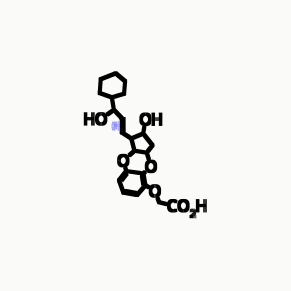 O=C(O)COc1cccc2c1OC1CC(O)C(/C=C/C(O)C3CCCCC3)C1O2